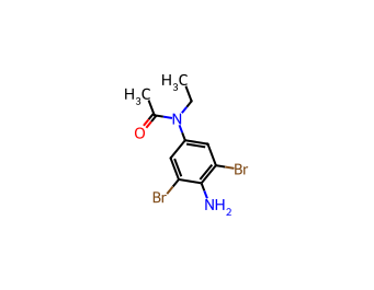 CCN(C(C)=O)c1cc(Br)c(N)c(Br)c1